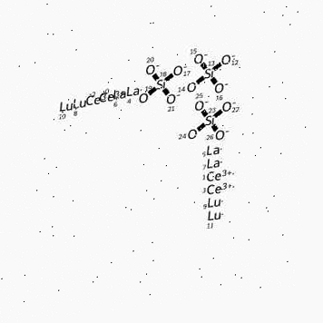 [Ce+3].[Ce+3].[Ce+3].[Ce+3].[La].[La].[La].[La].[Lu].[Lu].[Lu].[Lu].[O-][Si]([O-])([O-])[O-].[O-][Si]([O-])([O-])[O-].[O-][Si]([O-])([O-])[O-]